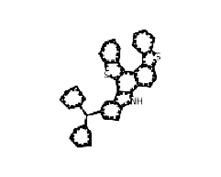 c1ccc(C(c2ccccc2)c2ccc3[nH]c4c5ccc6sc7ccccc7c6c5c5c6ccccc6sc5c4c3c2)cc1